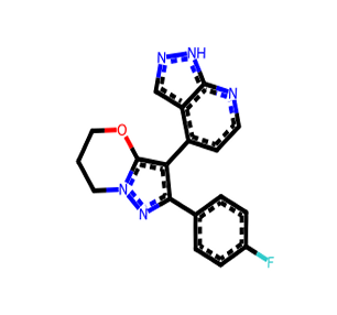 Fc1ccc(-c2nn3c(c2-c2ccnc4[nH]ncc24)OCCC3)cc1